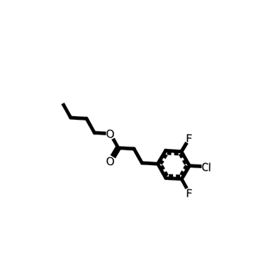 CCCCOC(=O)CCc1cc(F)c(Cl)c(F)c1